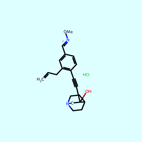 C=CCc1cc(/C=N/OC)ccc1C#CC1(O)CN2CCC1CC2.Cl